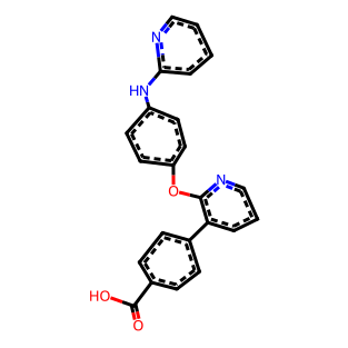 O=C(O)c1ccc(-c2cccnc2Oc2ccc(Nc3ccccn3)cc2)cc1